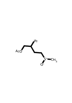 CC(=O)OCC(CC[S+](C)[O-])C(C)C